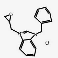 [Cl-].c1ccc(Cn2c[n+](CC3CO3)c3ccccc32)cc1